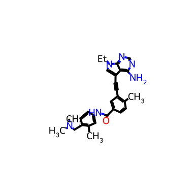 CCn1cc(C#Cc2cc(C(=O)Nc3ccc(CN(C)C)c(C)c3)ccc2C)c2c(N)ncnc21